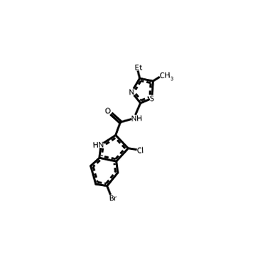 CCc1nc(NC(=O)c2[nH]c3ccc(Br)cc3c2Cl)sc1C